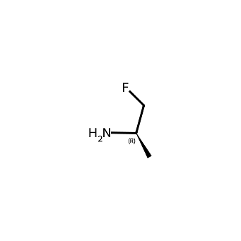 C[C@@H](N)CF